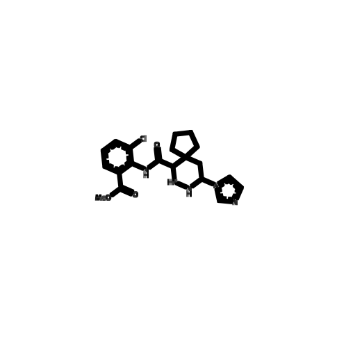 COC(=O)c1cccc(Cl)c1NC(=O)C1NNC(n2ccnc2)CC12CCCC2